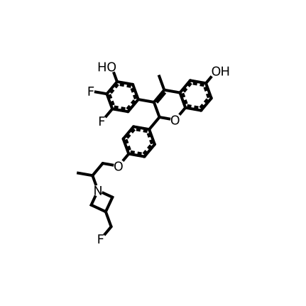 CC1=C(c2cc(O)c(F)c(F)c2)C(c2ccc(OCC(C)N3CC(CF)C3)cc2)Oc2ccc(O)cc21